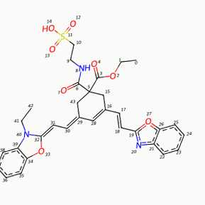 CCOC(=O)C1(C(=O)NCCS(=O)(=O)O)CC(/C=C/c2nc3ccccc3o2)=CC(=C/C=C2\Oc3ccccc3N2CC)/C1